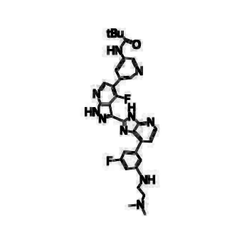 CN(C)CCNc1cc(F)cc(-c2ccnc3[nH]c(-c4n[nH]c5ncc(-c6cncc(NC(=O)C(C)(C)C)c6)c(F)c45)nc23)c1